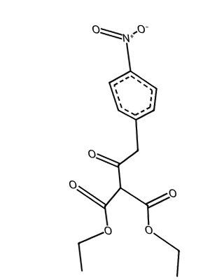 CCOC(=O)C(C(=O)Cc1ccc([N+](=O)[O-])cc1)C(=O)OCC